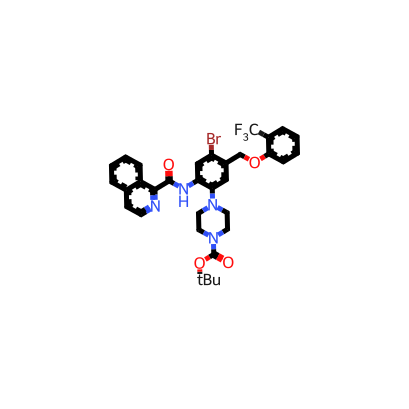 CC(C)(C)OC(=O)N1CCN(c2cc(COc3ccccc3C(F)(F)F)c(Br)cc2NC(=O)c2nccc3ccccc23)CC1